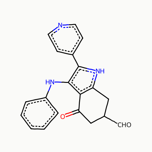 O=CC1CC(=O)c2c([nH]c(-c3ccncc3)c2Nc2ccccc2)C1